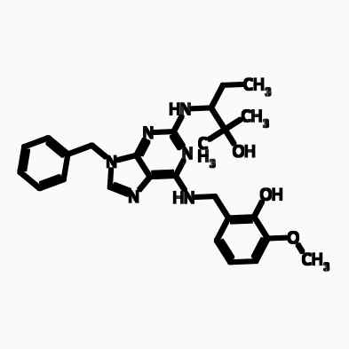 CCC(Nc1nc(NCc2cccc(OC)c2O)c2ncn(Cc3ccccc3)c2n1)C(C)(C)O